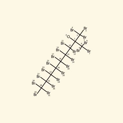 [O]C(C(Br)(Br)Br)(C(Br)(Br)Br)C(Br)(Br)C(Br)(Br)C(Br)(Br)C(Br)(Br)C(Br)(Br)C(Br)(Br)C(Br)(Br)Br